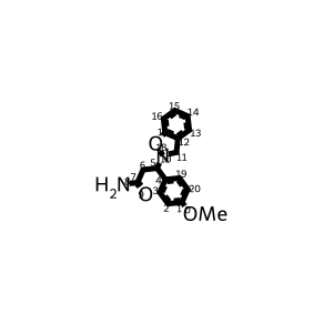 COc1ccc(C(CC(N)=O)N2Cc3ccccc3O2)cc1